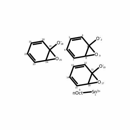 CCCCCCC[CH2][Sn+3].[O-]C12C=CC=CC1O2.[O-]C12C=CC=CC1O2.[O-]C12C=CC=CC1O2